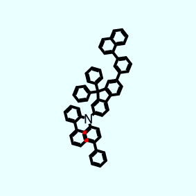 c1ccc(-c2ccc(N(c3ccc4c(c3)C(c3ccccc3)(c3ccccc3)c3cc(-c5cccc(-c6cccc7ccccc67)c5)ccc3-4)c3ccccc3-c3ccccc3)cc2)cc1